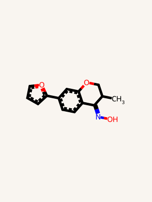 CC1COc2cc(-c3ccco3)ccc2/C1=N/O